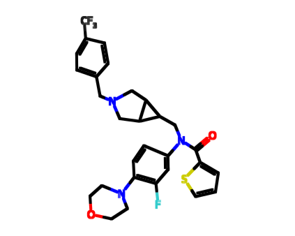 O=C(c1cccs1)N(CC1C2CN(Cc3ccc(C(F)(F)F)cc3)CC21)c1ccc(N2CCOCC2)c(F)c1